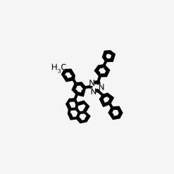 Cc1ccc(-c2cc(C3=CC=C4C=CC5=CC=CC6=CC=C3C4C56)cc(-c3nc(-c4ccc(-c5ccccc5)cc4)nc(-c4ccc(-c5ccccc5)cc4)n3)c2)cc1